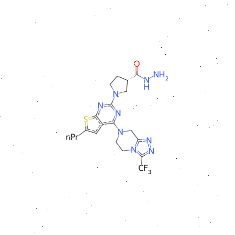 CCCc1cc2c(N3CCn4c(nnc4C(F)(F)F)C3)nc(N3CC[C@H](C(=O)NN)C3)nc2s1